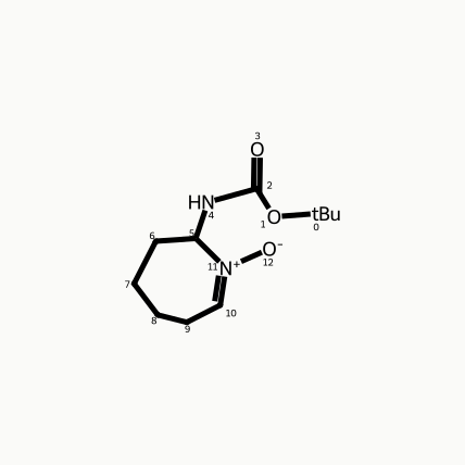 CC(C)(C)OC(=O)NC1CCCCC=[N+]1[O-]